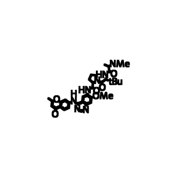 CNC(C)C(=O)NC(C(=O)N1CCCC1C(=O)Nc1cc2c(Nc3ccc4c(=O)cc(C)oc4c3)ncnc2cc1OC)C(C)(C)C